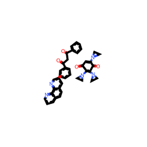 O=C(CC(=O)c1ccccc1)c1ccccc1.O=C1C=C(N2CC2)C(=O)C(N2CC2)=C1N1CC1.c1cnc2c(c1)ccc1cccnc12